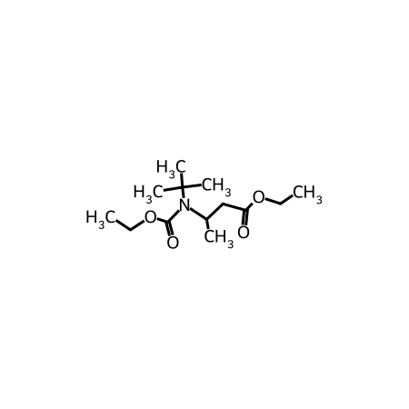 CCOC(=O)CC(C)N(C(=O)OCC)C(C)(C)C